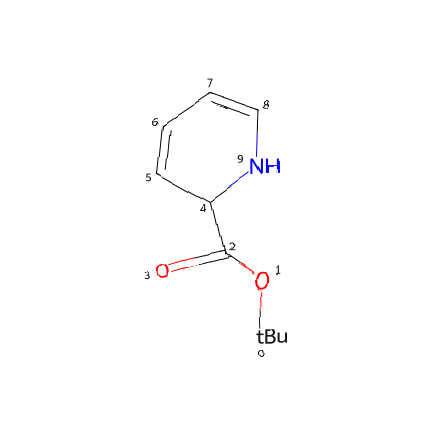 CC(C)(C)OC(=O)C1C=CC=CN1